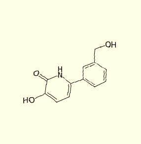 O=c1[nH]c(-c2cccc(CO)c2)ccc1O